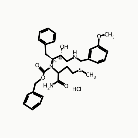 COc1cccc(CNC[C@@H](O)[C@H](Cc2ccccc2)N(C(=O)OCc2ccccc2)C(CCSC)C(N)=O)c1.Cl